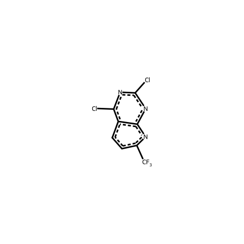 FC(F)(F)c1ccc2c(Cl)nc(Cl)nc2n1